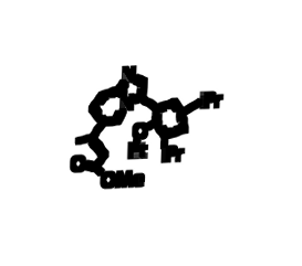 CCOc1c(-c2cnc3ccc(C(C)=CC(=O)OC)cn23)cc(C(C)C)cc1C(C)C